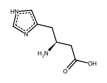 N[C@H](CC(=O)O)Cc1c[nH]cn1